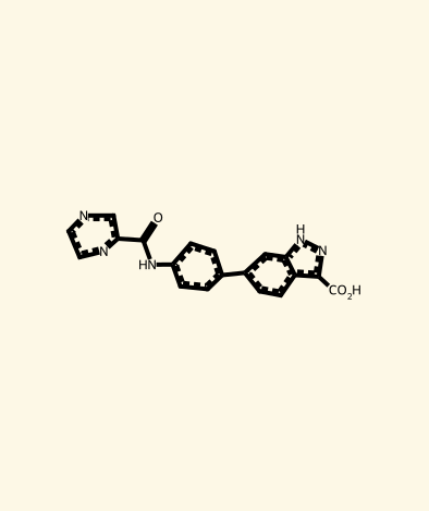 O=C(Nc1ccc(-c2ccc3c(C(=O)O)n[nH]c3c2)cc1)c1cnccn1